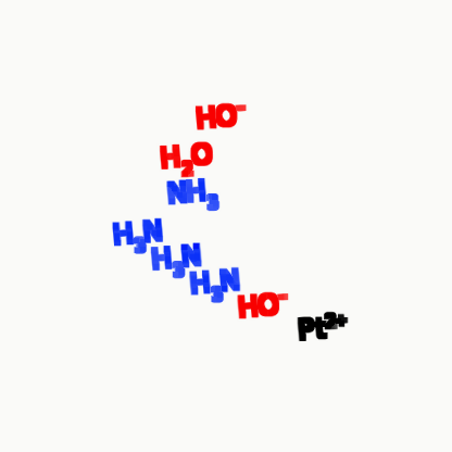 N.N.N.N.O.[OH-].[OH-].[Pt+2]